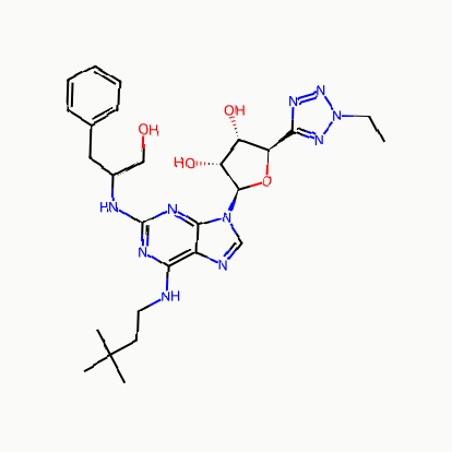 CCn1nnc([C@H]2O[C@@H](n3cnc4c(NCCC(C)(C)C)nc(NC(CO)Cc5ccccc5)nc43)[C@H](O)[C@@H]2O)n1